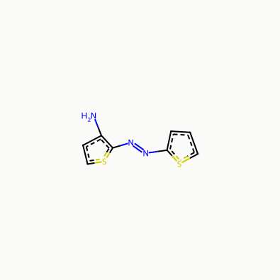 Nc1ccsc1N=Nc1cccs1